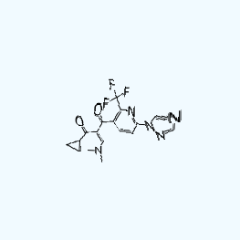 CN(C)/C=C(/C(=O)c1ccc(-n2cncn2)nc1C(F)(F)F)C(=O)C1CC1